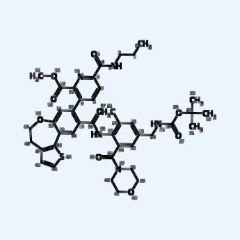 CCCNC(=O)c1ccc(-c2cc3c(cc2C(=O)Nc2c(C)cc(CNC(=O)OC(C)(C)C)cc2C(=O)N2CCOCC2)-c2sccc2CCO3)c(C(=O)OC)n1